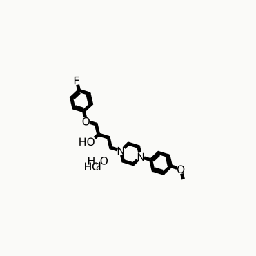 COc1ccc(N2CCN(CCC(O)COc3ccc(F)cc3)CC2)cc1.Cl.O